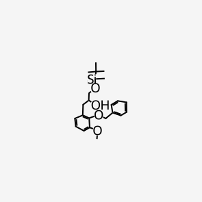 COc1cccc(CC(O)CO[Si](C)(C)C(C)(C)C)c1OCc1ccccc1